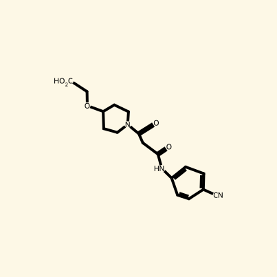 N#Cc1ccc(NC(=O)CC(=O)N2CCC(OCC(=O)O)CC2)cc1